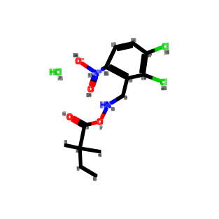 CCC(C)(C)C(=O)ONCc1c([N+](=O)[O-])ccc(Cl)c1Cl.Cl